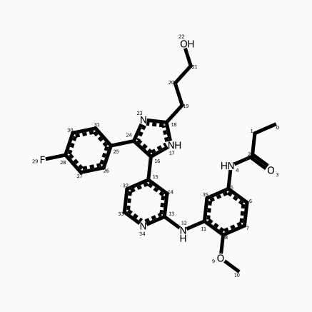 CCC(=O)Nc1ccc(OC)c(Nc2cc(-c3[nH]c(CCCO)nc3-c3ccc(F)cc3)ccn2)c1